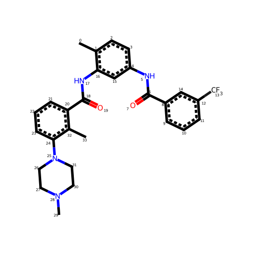 Cc1ccc(NC(=O)c2cccc(C(F)(F)F)c2)cc1NC(=O)c1cccc(N2CCN(C)CC2)c1C